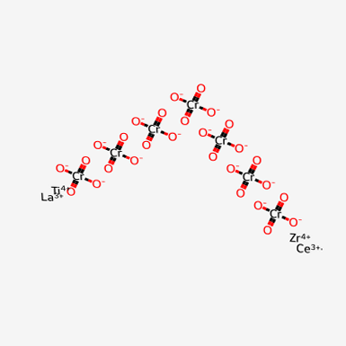 [Ce+3].[La+3].[O]=[Cr](=[O])([O-])[O-].[O]=[Cr](=[O])([O-])[O-].[O]=[Cr](=[O])([O-])[O-].[O]=[Cr](=[O])([O-])[O-].[O]=[Cr](=[O])([O-])[O-].[O]=[Cr](=[O])([O-])[O-].[O]=[Cr](=[O])([O-])[O-].[Ti+4].[Zr+4]